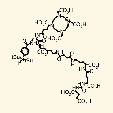 CC(C)(C)[Si](F)(c1ccc(C(=O)NC[C@H](NC(=O)CC[C@H](C(=O)O)N2CCN(CC(=O)O)CCN(CC(=O)O)CCN(CC(=O)O)CC2)C(=O)N[C@H](CCCCNC(=O)CCC(=O)NCCC[C@@H](NC(=O)CC[C@H](NC(=O)N[C@@H](CCC(=O)O)C(=O)O)C(=O)O)C(=O)O)C(=O)O)cc1)C(C)(C)C